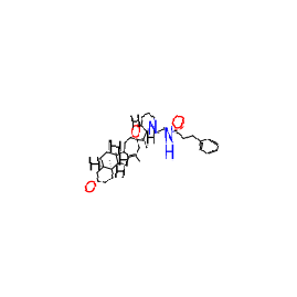 CC1=C2C[C@H]3[C@@H](CC[C@@H]4CC(=O)CC[C@@]43C)[C@@H]2CC[C@@]2(C1)O[C@@H]1CCCN(CCNC(=O)CCc3ccccc3)[C@H]1[C@H]2C